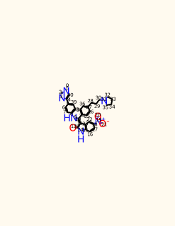 Cn1cnc(-c2ccc(N/C(=C3\C(=O)Nc4ccc([N+](=O)[O-])cc43)c3ccc(CCCN4CCCC4)cc3)cc2)c1